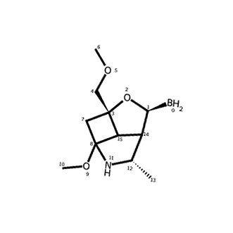 B[C@@H]1O[C@@]2(COC)CC3(OC)N[C@@H](C)C1C32